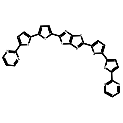 c1cnc(-c2ccc(-c3ccc(-c4nc5sc(-c6ccc(-c7ccc(-c8ncccn8)s7)s6)nc5s4)s3)s2)nc1